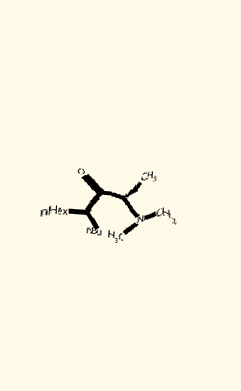 CCCCCCC(CCCC)C(=O)[C@@H](C)N(C)C